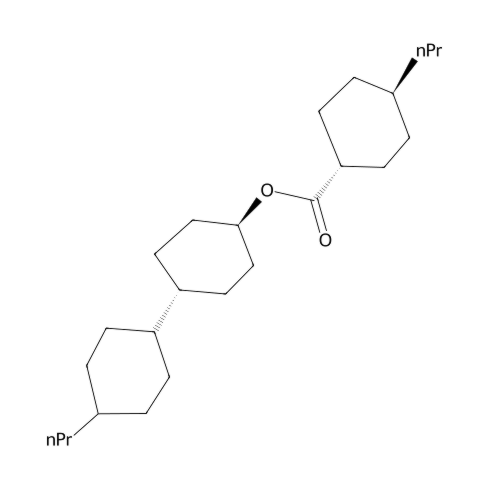 CCCC1CCC([C@H]2CC[C@H](OC(=O)[C@H]3CC[C@H](CCC)CC3)CC2)CC1